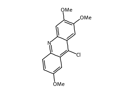 COc1ccc2nc3cc(OC)c(OC)cc3c(Cl)c2c1